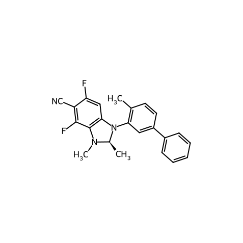 Cc1ccc(-c2ccccc2)cc1N1c2cc(F)c(C#N)c(F)c2N(C)[C@@H]1C